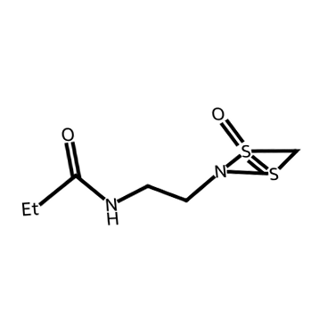 CCC(=O)NCCN1S2=S1(=O)C2